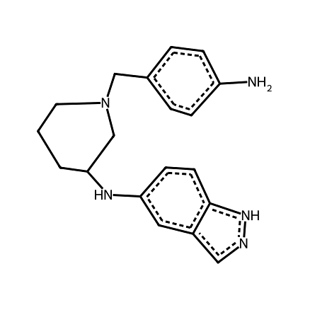 Nc1ccc(CN2CCCC(Nc3ccc4[nH]ncc4c3)C2)cc1